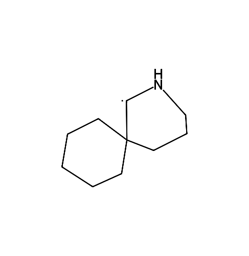 [CH]1NCCCC12CCCCC2